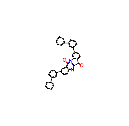 O=C1c2ccc(-c3cccc(-c4ccccc4)c3)cc2-n2c1nc1ccc(-c3cccc(-c4ccccc4)c3)cc1c2=O